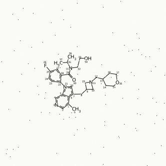 Cc1cncc2c1c(CC1CN(CC3CCOCC3)C1)cn2-c1ccc(F)cc1C(=O)N(CCO)C(C)C